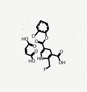 O=C(O)/C=C\C(=O)O.O=C(O)C1=C(CF)NC=C(C(=O)Oc2ccccc2Cl)C1